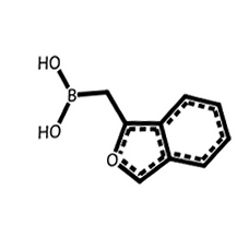 OB(O)Cc1occ2ccccc12